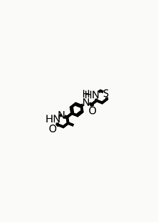 CC1CC(=O)NN=C1c1ccc(NC(=O)C2CCSCN2)cc1